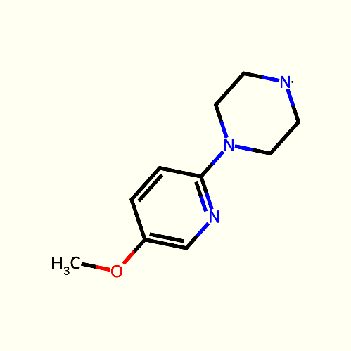 COc1ccc(N2CC[N]CC2)nc1